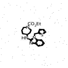 CCOC(=O)N1CCCC(Nc2nc3ccccc3n2Cc2cccs2)CC1